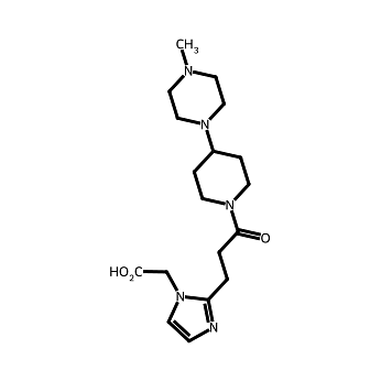 CN1CCN(C2CCN(C(=O)CCc3nccn3CC(=O)O)CC2)CC1